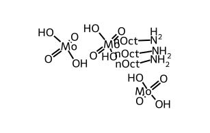 CCCCCCCCN.CCCCCCCCN.CCCCCCCCN.[O]=[Mo](=[O])([OH])[OH].[O]=[Mo](=[O])([OH])[OH].[O]=[Mo](=[O])([OH])[OH]